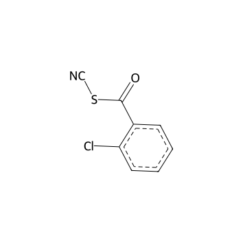 N#CSC(=O)c1ccccc1Cl